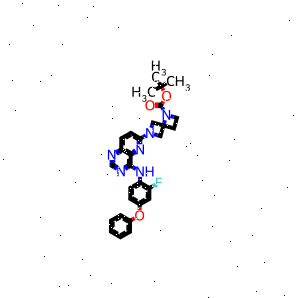 CC(C)(C)OC(=O)N1CCC12CN(c1ccc3ncnc(Nc4ccc(Oc5ccccc5)cc4F)c3n1)C2